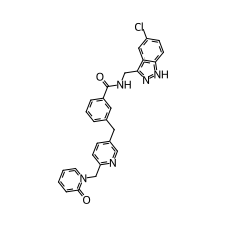 O=C(NCc1n[nH]c2ccc(Cl)cc12)c1cccc(Cc2ccc(Cn3ccccc3=O)nc2)c1